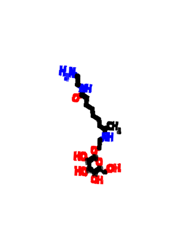 CC(CCCCCCC(=O)NCCN)NCCO[C@@H]1O[C@H](CO)[C@H](O)[C@H](O)[C@H]1O